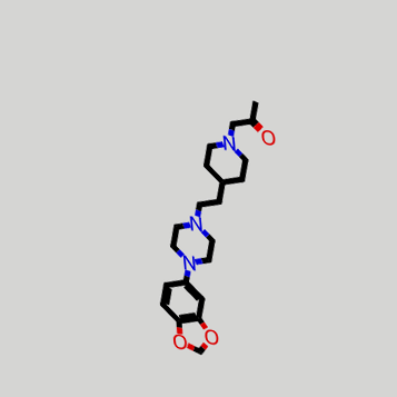 CC(=O)CN1CCC(CCN2CCN(c3ccc4c(c3)OCO4)CC2)CC1